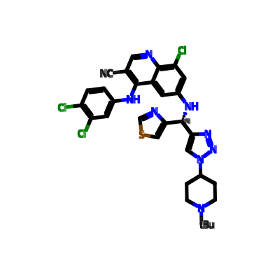 CC(C)(C)N1CCC(n2cc([C@@H](Nc3cc(Cl)c4ncc(C#N)c(Nc5ccc(Cl)c(Cl)c5)c4c3)c3cscn3)nn2)CC1